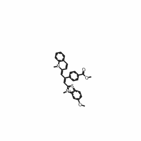 COC(=O)c1ccc(C(=C\c2sc3ccc(OC)cc3[n+]2C)/C=C2\C=Cc3ccccc3N2C)cc1